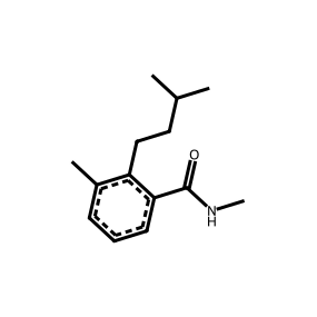 CNC(=O)c1cccc(C)c1CCC(C)C